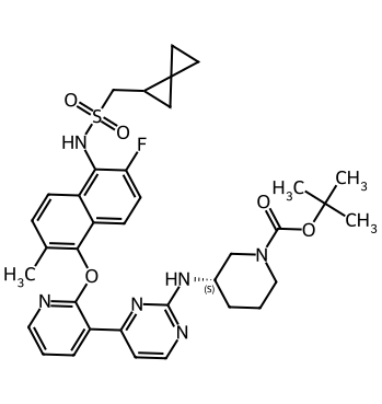 Cc1ccc2c(NS(=O)(=O)CC3CC34CC4)c(F)ccc2c1Oc1ncccc1-c1ccnc(N[C@H]2CCCN(C(=O)OC(C)(C)C)C2)n1